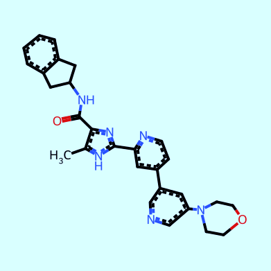 Cc1[nH]c(-c2cc(-c3cncc(N4CCOCC4)c3)ccn2)nc1C(=O)NC1Cc2ccccc2C1